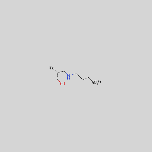 CC(C)[C@@H](CO)CNCCCS(=O)(=O)O